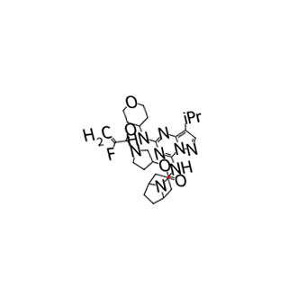 C=C(F)C(=O)N1CCC(OC(=O)N2C3CCC2CC(Nc2nc(NC4CCOCC4)nc4c(C(C)C)cnn24)C3)C1